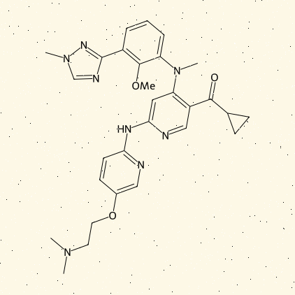 COc1c(-c2ncn(C)n2)cccc1N(C)c1cc(Nc2ccc(OCCN(C)C)cn2)ncc1C(=O)C1CC1